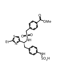 CCc1nc([C@H](Cc2ccc(NS(=O)(=O)O)cc2)NS(=O)(=O)Cc2ccc(C(=O)OC)cc2)cs1